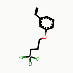 C=Cc1cccc(OCCC[Si](Cl)(Cl)Cl)c1